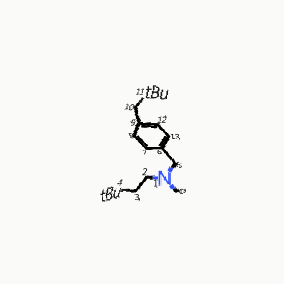 CN(CCC(C)(C)C)Cc1ccc(CC(C)(C)C)cc1